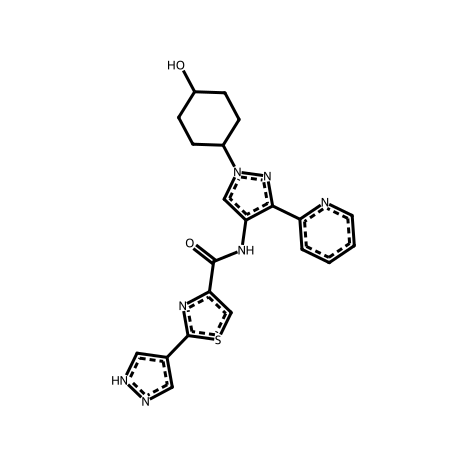 O=C(Nc1cn(C2CCC(O)CC2)nc1-c1ccccn1)c1csc(-c2cn[nH]c2)n1